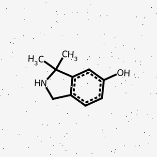 CC1(C)NCc2ccc(O)cc21